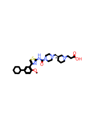 COc1ccc(C2CCCCC2)cc1-c1csc(NC(=O)N2CCN(C[C@@H]3CCCN(CCC(=O)O)C3)CC2)n1